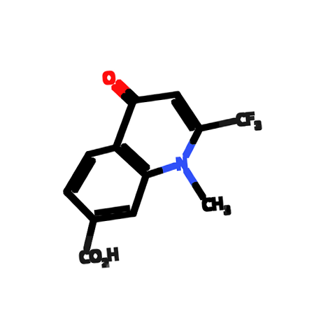 Cn1c(C(F)(F)F)cc(=O)c2ccc(C(=O)O)cc21